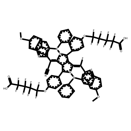 COc1ccc2sc(/C(C#N)=c3/c4c(-c5ccc(OC(F)(F)C(F)(F)C(F)(F)C(F)(F)C(=O)O)cc5)n(B(c5ccccc5)c5ccccc5)/c(=C(/F)c5nc6cc(OC)ccc6s5)c4c(-c4ccc(OC(F)(F)C(F)(F)C(F)(F)C(F)(F)C(=O)O)cc4)n3B(c3ccccc3)c3ccccc3)nc2c1